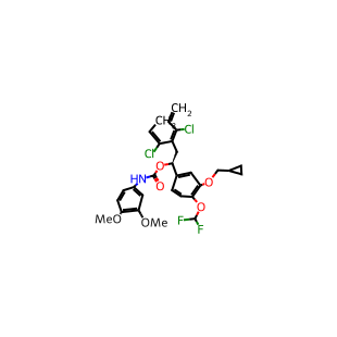 C=C/C(Cl)=C(C[C@H](OC(=O)Nc1ccc(OC)c(OC)c1)c1ccc(OC(F)F)c(OCC2CC2)c1)\C(Cl)=C/C